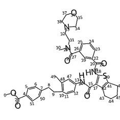 COC(=O)c1ccc(CCc2ccc(NC(=O)c3c(NC(=O)c4cccc(C(=O)N(C)CCN5CCOCC5)c4)sc4c3CCCC4)cc2C)cc1